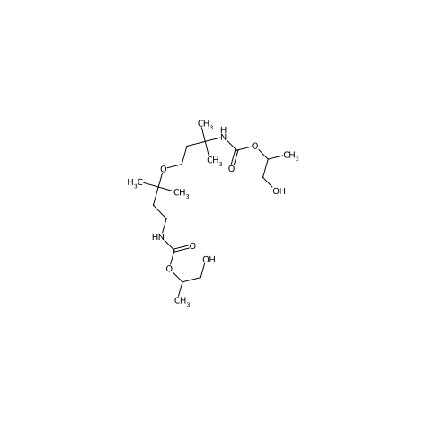 CC(CO)OC(=O)NCCC(C)(C)OCCC(C)(C)NC(=O)OC(C)CO